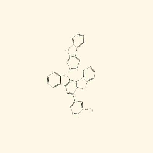 Brc1cccc(-c2cc3c4ccccc4n(-c4ccc5c(c4)oc4ccccc45)c3c3c2sc2ccccc23)c1